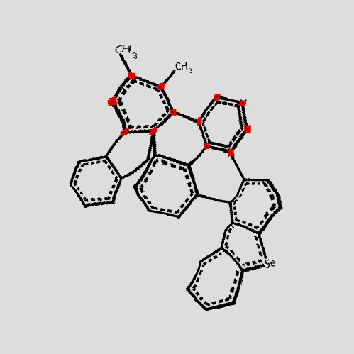 Cc1cc2c(c(-c3cnnnc3-c3c(-c4ccccc4)cccc3-c3c(-c4ccccc4)ccc4[se]c5ccccc5c34)c1C)Cc1ccccc1-2